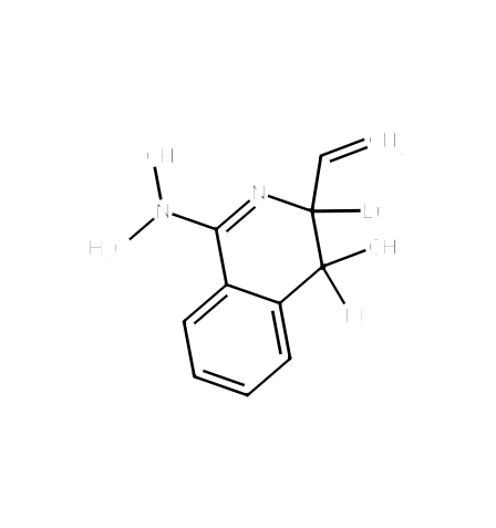 C=CC1(CC)N=C(N(C)C)c2ccccc2C1(C)CC